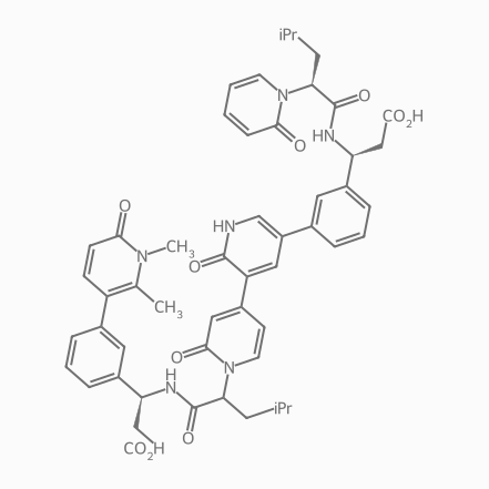 Cc1c(-c2cccc([C@H](CC(=O)O)NC(=O)C(CC(C)C)n3ccc(-c4cc(-c5cccc([C@H](CC(=O)O)NC(=O)[C@H](CC(C)C)n6ccccc6=O)c5)c[nH]c4=O)cc3=O)c2)ccc(=O)n1C